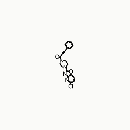 O=C(C#Cc1ccccc1)N1CCN(c2nc3nc(Cl)ccc3o2)CC1